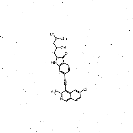 CCN(CC)CC(O)Cn1[nH]c2cc(C#Cc3c(N)ncc4ccc(Cl)cc34)ccc2c1=O